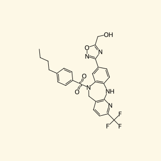 CCCCc1ccc(S(=O)(=O)N2Cc3ccc(C(F)(F)F)nc3Nc3ccc(-c4noc(CO)n4)cc32)cc1